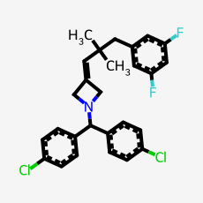 CC(C)(C=C1CN(C(c2ccc(Cl)cc2)c2ccc(Cl)cc2)C1)Cc1cc(F)cc(F)c1